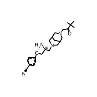 CC(C)(C)C(=O)CN1CC2CC(C1)CN(C[C@H](N)COc1ccc(C#N)cc1)C2